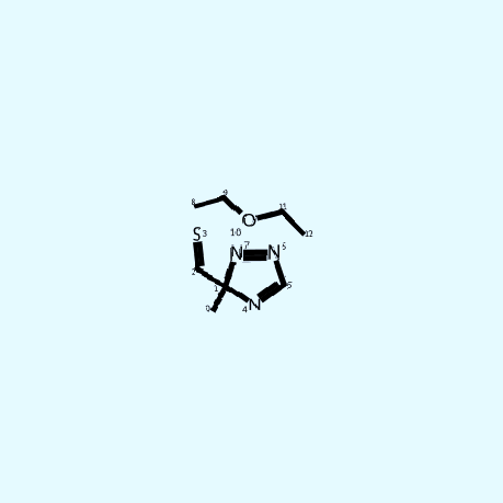 CC1(C=S)N=CN=N1.CCOCC